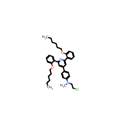 CCCCCCOc1ccccc1-c1cc(-c2ccc(N(C)CCCl)cc2)cc(-c2ccccc2OCCCCCC)n1